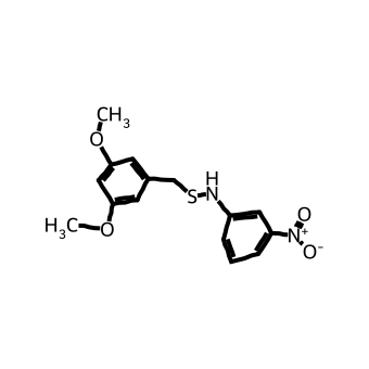 COc1cc(CSNc2cccc([N+](=O)[O-])c2)cc(OC)c1